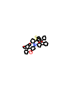 c1ccc(C2(c3ccccc3)c3ccccc3-c3ccc(N(c4ccc5c(c4)C4(c6ccccc6O5)c5ccccc5-c5ccccc54)c4cccc5sc6ccccc6c45)cc32)cc1